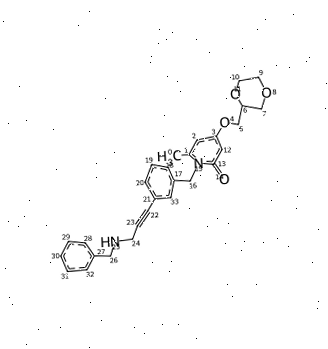 Cc1cc(OCC2COCCO2)cc(=O)n1Cc1cccc(C#CCNCc2ccccc2)c1